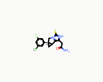 NC(=O)Cc1[nH]c(=S)n2c1C1C[C@]1(c1cc(F)cc(Cl)c1)C2